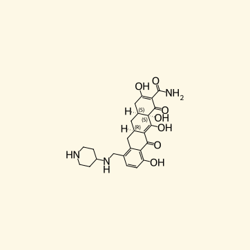 NC(=O)C1=C(O)C[C@@H]2C[C@@H]3Cc4c(CNC5CCNCC5)ccc(O)c4C(=O)C3=C(O)[C@]2(O)C1=O